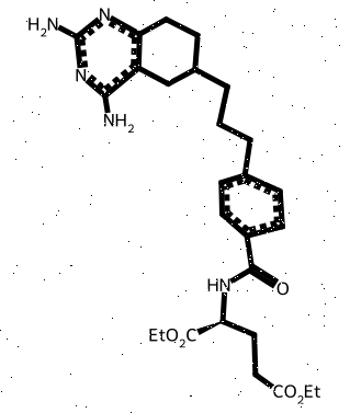 CCOC(=O)CC[C@H](NC(=O)c1ccc(CCCC2CCc3nc(N)nc(N)c3C2)cc1)C(=O)OCC